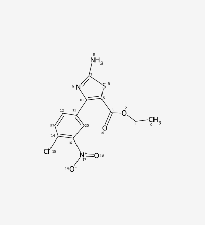 CCOC(=O)c1sc(N)nc1-c1ccc(Cl)c([N+](=O)[O-])c1